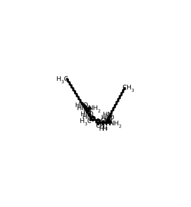 CCCCCCCCCCCCCCCCCCNC(=O)Nc1nc(N)nc(NC(=O)Nc2ccc(-c3ccc(NC(=O)Nc4nc(N)nc(NC(=O)NCCCCCCCCCCCCCCCCCC)n4)c(C)c3)cc2C)n1